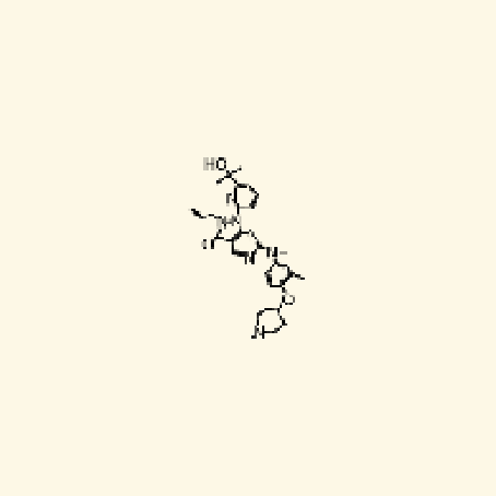 C=CCn1c(=O)c2cnc(Nc3ccc(OC4CCN(C)CC4)c(C)c3)nc2n1-c1cccc(C(C)(C)O)n1